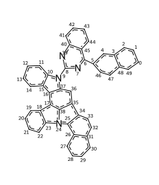 c1ccc2cc(-c3nc(-n4c5ccccc5c5c6c7ccccc7n7c8c9ccccc9ccc8c(cc54)c67)nc4ccccc34)ccc2c1